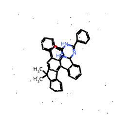 CC1(C)C2=C(C=CCC2)c2c1cc1ccccc1c2-c1ccccc1C1N=C(c2ccccc2)NC(c2ccccc2)N1